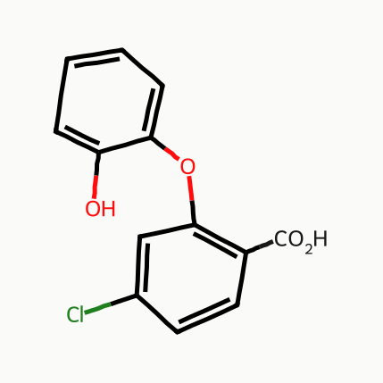 O=C(O)c1ccc(Cl)cc1Oc1ccccc1O